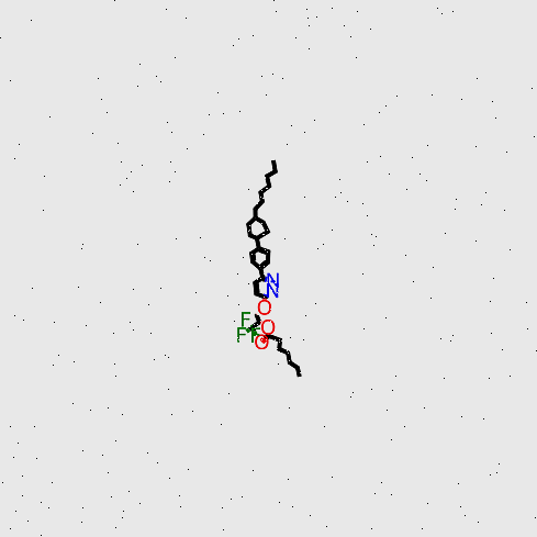 CCCCCCCC1CCC(c2ccc(-c3ccc(OCC(OC(=O)CCCCCC)C(F)(F)F)nn3)cc2)CC1